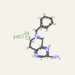 Cl.Cl.Nc1cnc2c(n1)CN(Cc1ccccc1)CC2